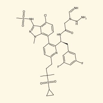 Cn1nc(NS(C)(=O)=O)c2c(Cl)ccc(-c3ccc(CCC(C)(C)S(=O)(=O)C4CC4)nc3[C@H](Cc3cc(F)cc(F)c3)NC(=O)CN(C=N)NN)c21